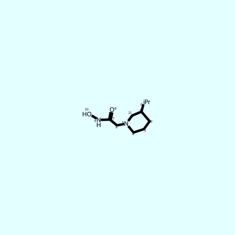 CC(C)C1CCCN(CC(=O)NO)C1